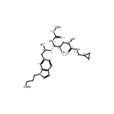 COCCCn1ccc2ccc(C[C@H](C[C@H](NC(=O)OC(C)(C)C)[C@H](O)C[C@H](C(=O)NCC3CC3)C(C)C)C(C)C)cc21